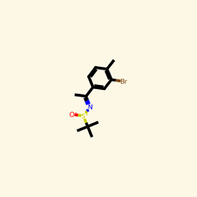 CC(=N[S+]([O-])C(C)(C)C)c1ccc(C)c(Br)c1